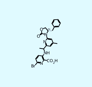 Cc1cc(C(C)Nc2ccc(Br)nc2C(=O)O)nc(N2C(=O)OC[C@@H]2Cc2ccccc2)c1